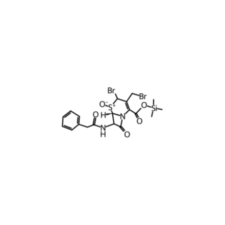 C[Si](C)(C)OC(=O)C1=C(CBr)C(Br)[S+]([O-])[C@H]2C(NC(=O)Cc3ccccc3)C(=O)N12